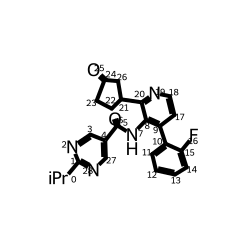 CC(C)c1ncc(C(=O)Nc2c(-c3ccccc3F)ccnc2C2CCC(=O)C2)cn1